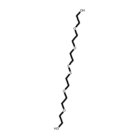 OCCOCCOCCSSCCOCCOCCO